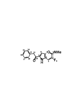 CNC(=O)/C(F)=C\c1ccc(C(=O)Cc2ccccc2)[nH]1